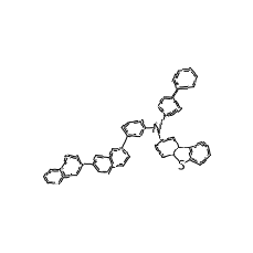 C1=CC2Sc3ccccc3C2C=C1N(c1ccc(-c2ccccc2)cc1)c1cccc(-c2ccc3ccc(-c4ccc5ccccc5c4)cc3c2)c1